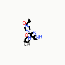 CC1(C#N)CCN(c2c(C(=O)N3CCN(C(=O)C4CC4)CC3)cnc3[nH]ccc23)CC1